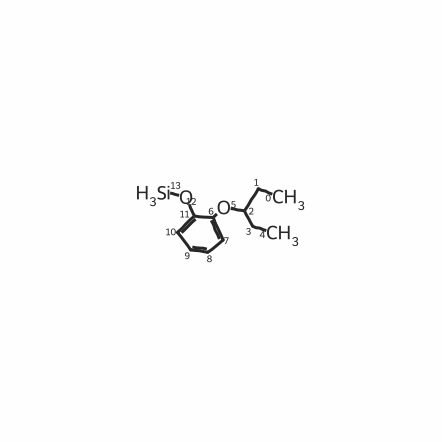 CCC(CC)Oc1ccccc1O[SiH3]